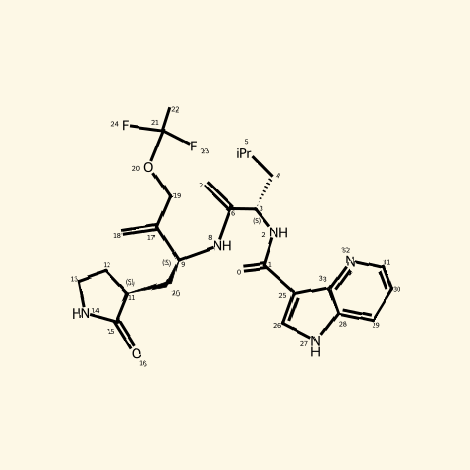 C=C(N[C@@H](CC(C)C)C(=C)N[C@@H](C[C@@H]1CCNC1=O)C(=C)COC(C)(F)F)c1c[nH]c2cccnc12